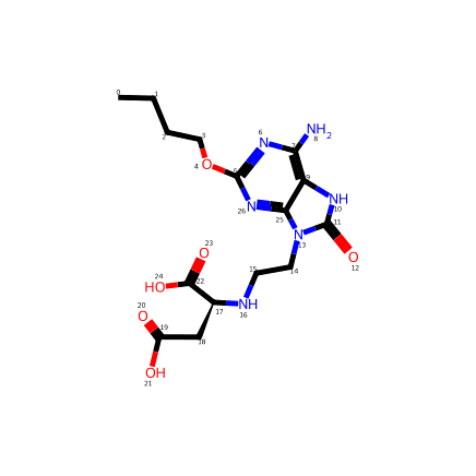 CCCCOc1nc(N)c2[nH]c(=O)n(CCN[C@@H](CC(=O)O)C(=O)O)c2n1